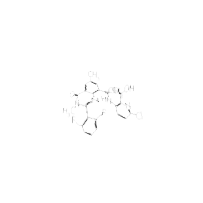 Cc1cc([C@@H](C)Nc2ccc(Cl)nc2C(=O)O)c2nc(-c3c(F)cccc3F)n(C)c(=O)c2c1